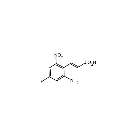 Nc1cc(F)cc([N+](=O)[O-])c1C=CC(=O)O